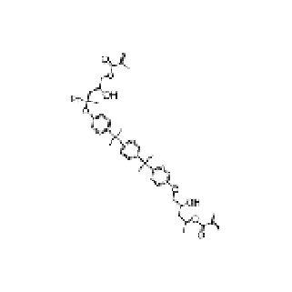 C=C(C)C(=O)OCC(O)CC(C)(CC)Oc1ccc(C(C)(C)c2ccc(C(C)(C)c3ccc(OCC(O)CC(C)OC(=O)C(=C)C)cc3)cc2)cc1